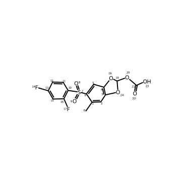 Cc1cc2c(cc1S(=O)(=O)c1ccc(F)cc1F)OC(OC(=O)O)O2